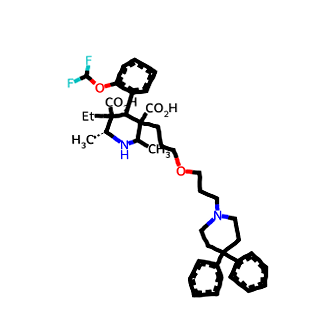 CCC1(C(=O)O)C(c2ccccc2OC(F)F)C(CCCOCCCN2CCC(c3ccccc3)(c3ccccc3)CC2)(C(=O)O)C(C)N[C@@H]1C